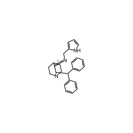 c1ccc(C(c2ccccc2)C2/C(=N/Cc3ccc[nH]3)C3CCN2CC3)cc1